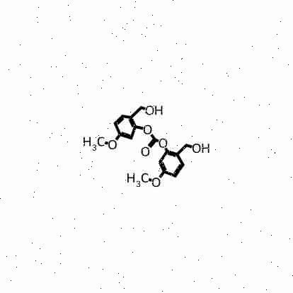 COc1ccc(CO)c(OC(=O)Oc2cc(OC)ccc2CO)c1